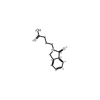 O=C(O)CCCN1Cc2ccccc2C1=O